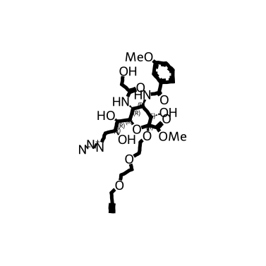 C#CCOCCOCCO[C@@]1(C(=O)OC)O[C@@H]([C@H](O)[C@H](O)CN=[N+]=[N-])[C@H](NC(=O)CO)[C@@H](NC(=O)c2cccc(OC)c2)[C@@H]1O